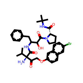 CC(C)[C@@](N)(C(=O)COc1ccc2cc(Br)ccc2c1)C(=O)NC(Cc1ccccc1)C(O)C(=O)N1CCC[C@H]1C(=O)NC(C)(C)C